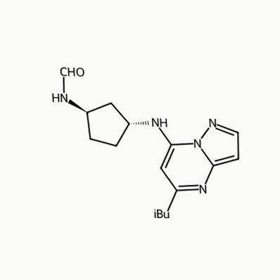 CCC(C)c1cc(N[C@@H]2CC[C@@H](NC=O)C2)n2nccc2n1